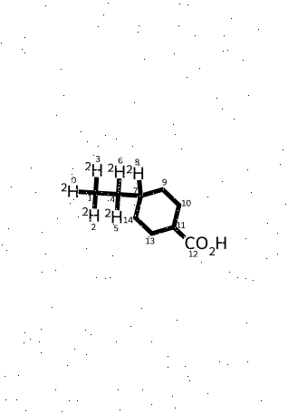 [2H]C([2H])([2H])C([2H])([2H])C1([2H])CCC(C(=O)O)CC1